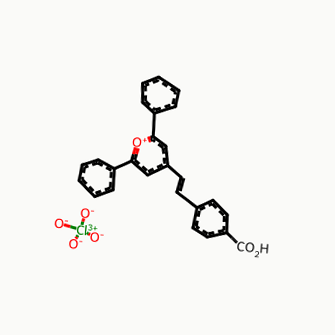 O=C(O)c1ccc(C=Cc2cc(-c3ccccc3)[o+]c(-c3ccccc3)c2)cc1.[O-][Cl+3]([O-])([O-])[O-]